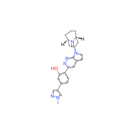 Cn1cc(-c2ccc(-c3cc4ccn([C@@H]5C[C@H]6CCC[C@@H](C5)N6)c4nn3)c(O)c2)cn1